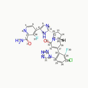 NC(=O)c1nccc(-c2cnc([C@@H]3CC[C@@H]4CC(c5c(-n6cnnn6)ccc(Cl)c5F)=CC(=O)N43)[nH]2)c1F